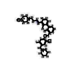 Cc1cc(OCc2cccc(-c3cccc(/C=C/CCN4CC[S+]([O-])CC4)c3C)c2C)c(Cl)cc1CN1CCCCC1